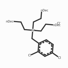 CCCCCCCCCCCC[N+](CCCCCCCCCCCC)(CCCCCCCCCCCC)Cc1ccc(Cl)cc1Cl.[Cl-]